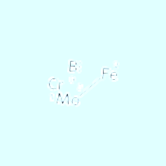 [B].[Cr].[Fe][Mo]